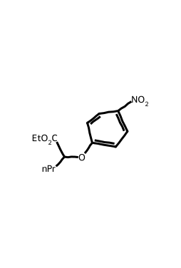 CCCC(Oc1ccc([N+](=O)[O-])cc1)C(=O)OCC